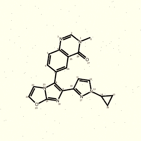 Cn1cnc2ccc(-c3c(-c4ccn(C5CC5)n4)nc4occn34)cc2c1=O